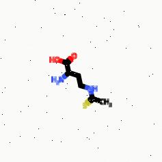 CC(=S)NCCC(N)C(=O)O